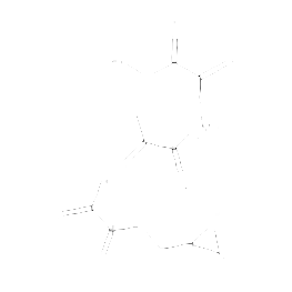 C=C(C)C(=O)OC.C=C(C)C(=O)OCC1CO1.C=C(CC)C(=O)OCCCCCC